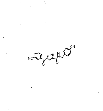 N#Cc1ccc(CNC(=O)c2cc(C(=O)c3cccc(C#N)c3)c[nH]2)cc1